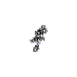 O=C(/C=C/CN1CCOCC1)Nc1cc2c(Nc3cccc(Cl)c3F)ncnc2cc1OCC1CC1